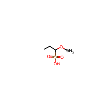 CCC(O[SiH3])S(=O)(=O)O